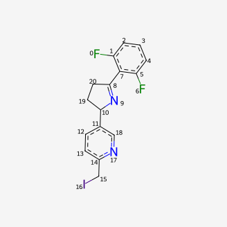 Fc1cccc(F)c1C1=NC(c2ccc(CI)nc2)CC1